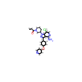 C=CC(=O)N1CCCC(n2nc(-c3ccc(Oc4ccncc4)cc3)c3c(N)ncc(Cl)c32)C1